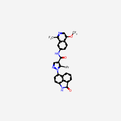 CCCc1c(C(=O)Nc2ccc3c(OC(F)(F)F)cnc(C(F)(F)F)c3c2)cnn1-c1ccc2c3c(cccc13)C(=O)N2